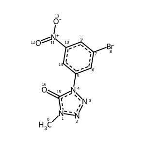 Cn1nnn(-c2cc(Br)cc([N+](=O)[O-])c2)c1=O